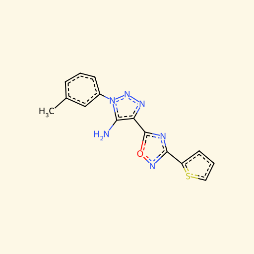 Cc1cccc(-n2nnc(-c3nc(-c4cccs4)no3)c2N)c1